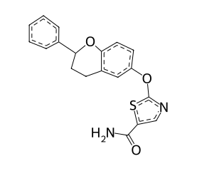 NC(=O)c1cnc(Oc2ccc3c(c2)CCC(c2ccccc2)O3)s1